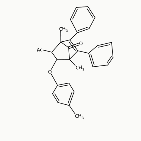 CC(=O)C1C(Oc2ccc(C)cc2)C2(C)C(=O)C1(C)C(c1ccccc1)=C2c1ccccc1